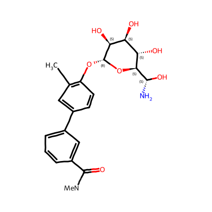 CNC(=O)c1cccc(-c2ccc(O[C@H]3O[C@H]([C@@H](N)O)[C@@H](O)[C@H](O)[C@@H]3O)c(C)c2)c1